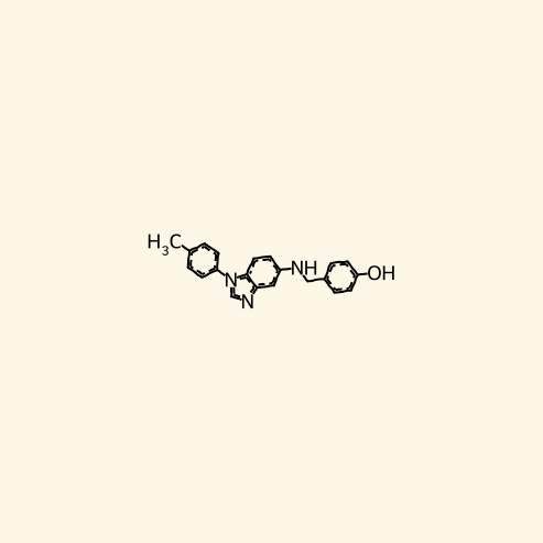 Cc1ccc(-n2cnc3cc(NCc4ccc(O)cc4)ccc32)cc1